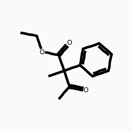 CCOC(=O)C(C)(C(C)=O)c1ccccc1